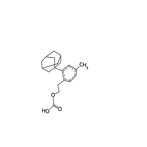 Cc1ccc(CCOC(=O)O)c(C23CC4CC(CC(C4)C2)C3)c1